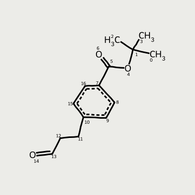 CC(C)(C)OC(=O)c1ccc(CCC=O)cc1